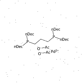 CC(=O)[O-].CC(=O)[O-].CCCCCCCCCCP(CCCCCCCCCC)CCCP(CCCCCCCCCC)CCCCCCCCCC.[Pd+2]